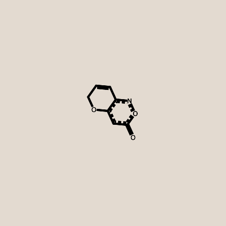 O=c1cc2c(no1)C=CCO2